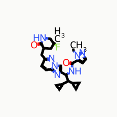 CCn1nccc1C(=O)NC(c1cn2nc(CC3CC(C)(F)CNC3=O)ccc2n1)C(C1CC1)C1CC1